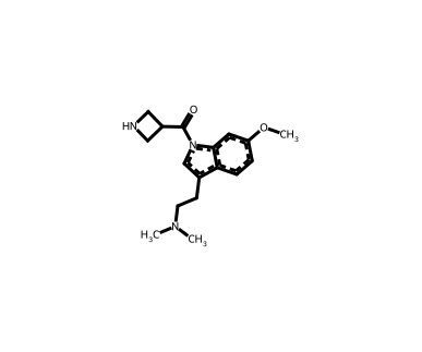 COc1ccc2c(CCN(C)C)cn(C(=O)C3CNC3)c2c1